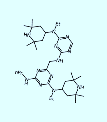 CCCNc1nc(CNc2ncnc(N(CC)C3CC(C)(C)NC(C)(C)C3)n2)nc(N(CC)C2CC(C)(C)NC(C)(C)C2)n1